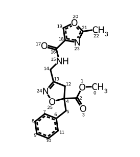 COC(=O)C1(Cc2ccccc2)CC(CNC(=O)c2coc(C)n2)=NO1